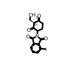 CC[C@H]1C(=O)CCC(N2C(=O)c3cccc(I)c3C2=O)C1=O